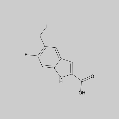 O=C(O)c1cc2cc(CI)c(F)cc2[nH]1